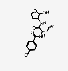 CC(C)C[C@H](NC(=O)c1ccc(Cl)cc1)C(=O)N[C@H]1CCOC1O